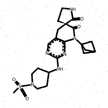 CS(=O)(=O)N1CCC(Nc2ncc3c(n2)N(C24CC(C2)C4)C(=O)[C@]2(CCNC2=O)C3)CC1